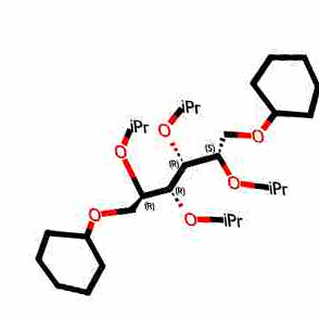 CC(C)O[C@@H]([C@H](OC(C)C)[C@@H](COC1CCCCC1)OC(C)C)[C@H](COC1CCCCC1)OC(C)C